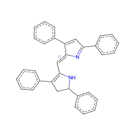 C1=C(c2ccccc2)/C(=C/C2=C(c3ccccc3)CC(c3ccccc3)N2)N=C1c1ccccc1